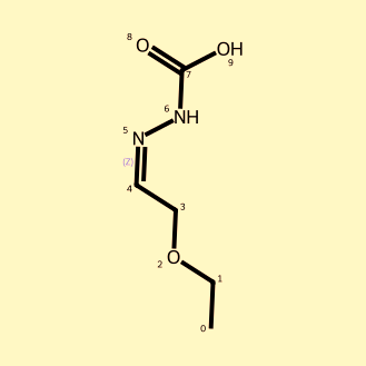 CCOC/C=N\NC(=O)O